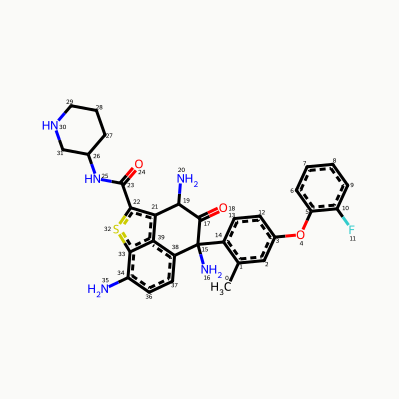 Cc1cc(Oc2ccccc2F)ccc1C1(N)C(=O)C(N)c2c(C(=O)NC3CCCNC3)sc3c(N)ccc1c23